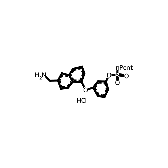 CCCCCS(=O)(=O)Oc1cccc(Oc2cccc3cc(CN)ccc23)c1.Cl